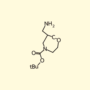 CC(C)(C)OC(=O)N1CCOCC(CN)C1